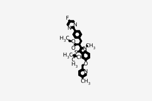 CCOC(=O)C(Cc1ccc(-c2ncc(F)cn2)cc1)c1c(SC(C)(C)C)c2cc(OCc3ccc(C)cn3)ccc2n1C